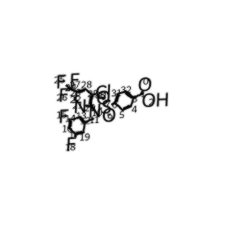 O=C(O)c1ccc(S(=O)(=O)N(Cc2cc(F)cc(F)c2)c2ncc(C(F)(F)F)cc2Cl)cc1